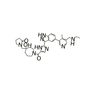 CCNCc1cncc(-c2ccc3[nH]nc(-c4ncc(C(=O)N5CCCC(O)(CN6CCCC6=O)CC5)[nH]4)c3c2)c1C